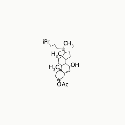 CC(=O)O[C@H]1CC[C@@]2(C)C(=CC(O)C3C4CCC([C@@H](C)CCCC(C)C)C4(C)CCC32)C1